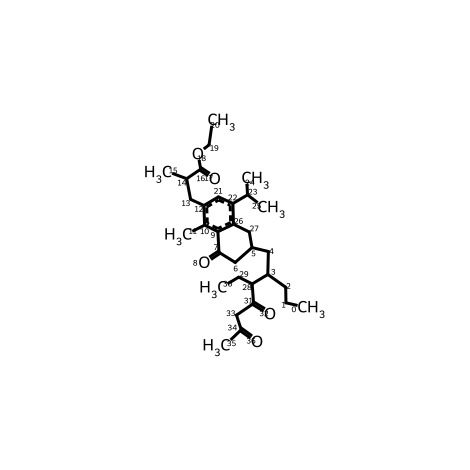 CCCC(CC1CC(=O)c2c(C)c(CC(C)C(=O)OCC)cc(C(C)C)c2C1)C(CC)C(=O)CC(C)=O